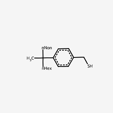 CCCCCCCCCC(C)(CCCCCC)c1ccc(CS)cc1